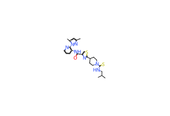 Cc1cc(C)n(-c2ncccc2NC(=O)c2csc(C3CCN(C(=S)NCC(C)C)CC3)n2)n1